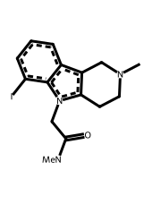 CNC(=O)Cn1c2c(c3cccc(I)c31)CN(C)CC2